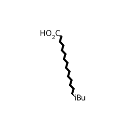 CC[C@H](C)CCCCCCCCCCCCCCC(=O)O